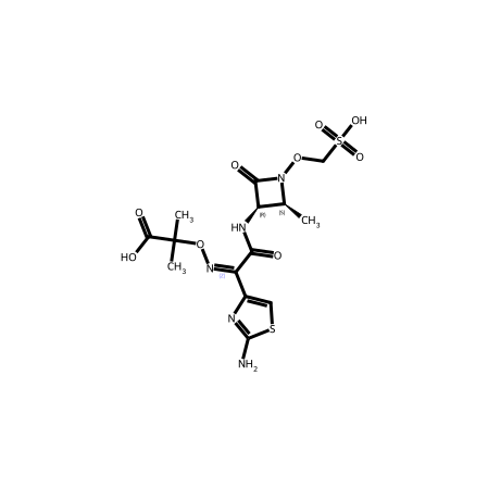 C[C@H]1[C@@H](NC(=O)/C(=N\OC(C)(C)C(=O)O)c2csc(N)n2)C(=O)N1OCS(=O)(=O)O